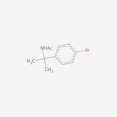 CC(=O)NC(C)(C)c1ccc(Br)cc1